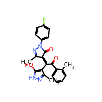 CC1=NN(c2ccc(F)cc2)C(=O)C1=C(C(=O)c1ccccc1C)c1c(C)n[nH]c1O